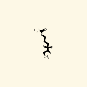 CCC(F)C(F)(F)CCCSC(C)=O